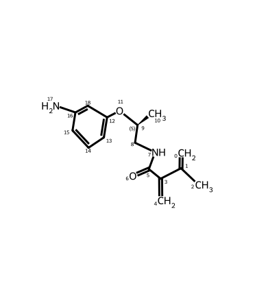 C=C(C)C(=C)C(=O)NC[C@H](C)Oc1cccc(N)c1